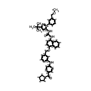 COCc1cccc(-n2nc(C(C)(C)C)cc2NC(=O)Nc2ccc(OCc3ccnc(Nc4cnc(C(=O)N5CCCC5)cn4)c3)c3ccccc23)c1